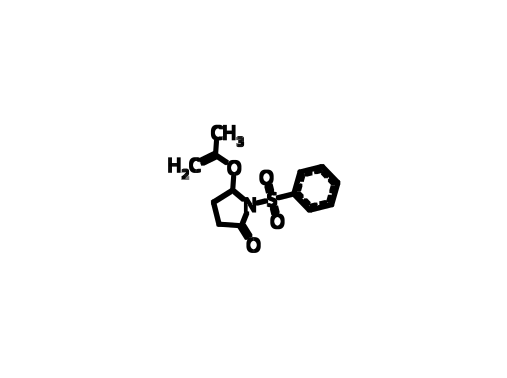 C=C(C)OC1CCC(=O)N1S(=O)(=O)c1ccccc1